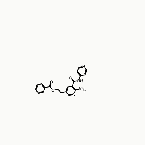 Nc1ncc(CCOC(=O)c2ccccc2)cc1C(=O)Nc1ccncc1